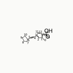 Cc1cc(C#CC2CCCC2)ccc1C(=O)O